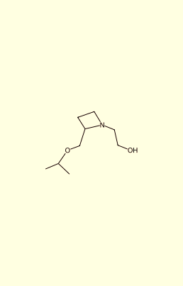 CC(C)OCC1CCN1CCO